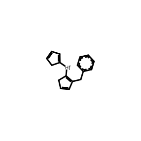 C1=CC[C]([Hf][C]2=C(Cc3ccccc3)C=CC2)=C1